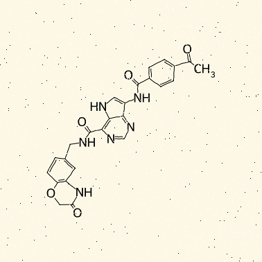 CC(=O)c1ccc(C(=O)Nc2c[nH]c3c(C(=O)NCc4ccc5c(c4)NC(=O)CO5)ncnc23)cc1